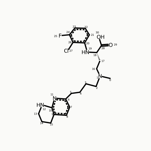 CN(CCCCc1ccc2c(n1)NCCC2)CC[C@H](Nc1cccc(F)c1Cl)C(=O)O